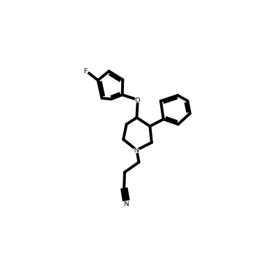 N#CCCN1CCC(Oc2ccc(F)cc2)C(c2ccccc2)C1